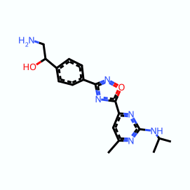 Cc1cc(-c2nc(-c3ccc(C(O)CN)cc3)no2)nc(NC(C)C)n1